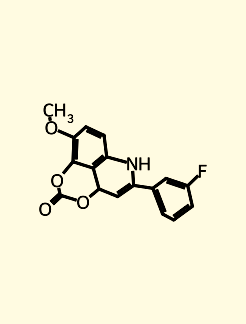 COc1ccc2c3c1OC(=O)OC3C=C(c1cccc(F)c1)N2